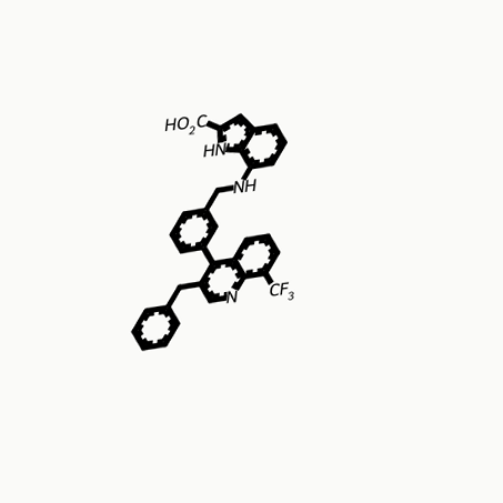 O=C(O)c1cc2cccc(NCc3cccc(-c4c(Cc5ccccc5)cnc5c(C(F)(F)F)cccc45)c3)c2[nH]1